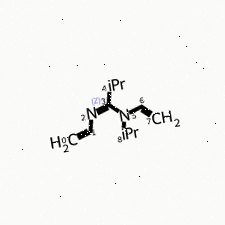 C=C/N=C(/C(C)C)N(C=C)C(C)C